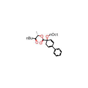 CCCCCCCCOC1(C(=O)O[C@@H](C)C(=O)CCCC)C=CC(c2ccccc2)=CC1